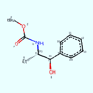 CC[C@H](NC(=O)OC(C)(C)C)[C@H](O)c1ccccc1